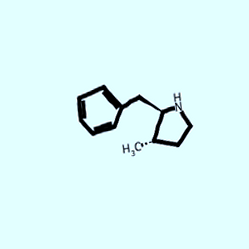 C[C@H]1CCN[C@@H]1Cc1ccccc1